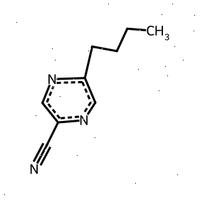 CCCCc1cnc(C#N)cn1